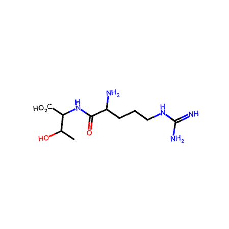 CC(O)C(NC(=O)C(N)CCCNC(=N)N)C(=O)O